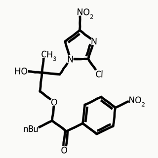 CCCCC(OCC(C)(O)Cn1cc([N+](=O)[O-])nc1Cl)C(=O)c1ccc([N+](=O)[O-])cc1